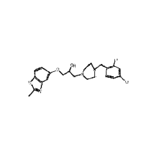 Cc1nc2cc(OCC(O)CN3C[CH]N(Cc4ccc(Cl)cc4Cl)CC3)ccc2s1